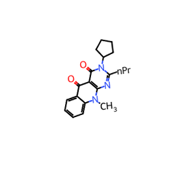 CCCc1nc2c(c(=O)c3ccccc3n2C)c(=O)n1C1CCCC1